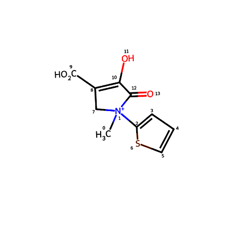 C[N+]1(c2cccs2)CC(C(=O)O)=C(O)C1=O